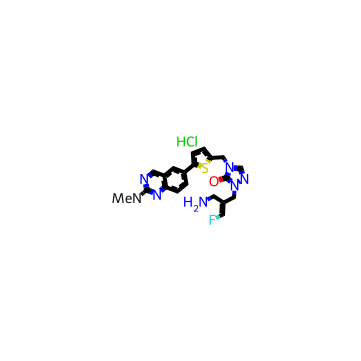 CNc1ncc2cc(-c3ccc(Cn4cnn(C/C(=C/F)CN)c4=O)s3)ccc2n1.Cl